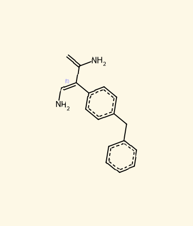 C=C(N)/C(=C/N)c1ccc(Cc2ccccc2)cc1